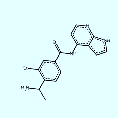 CCc1cc(C(=O)Nc2ccnc3[nH]ccc23)ccc1C(C)N